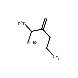 C=C(CCC(F)(F)F)C(CCC)CCCCCC